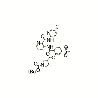 CC(C)(C)OC(=O)N1CCC(COc2cc(S(C)(=O)=O)ccc2C(=O)Nc2cccnc2C(=O)Nc2ccc(Cl)cn2)C1